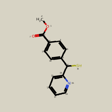 COC(=O)c1ccc(C(S)c2ccccn2)cc1